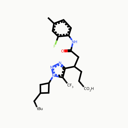 Cc1ccc(NC(=O)CC(CCC(=O)O)c2nnn(C3CC(CC(C)(C)C)C3)c2C(F)(F)F)c(F)c1